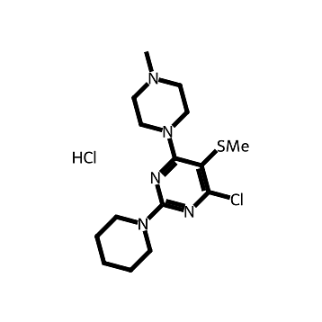 CSc1c(Cl)nc(N2CCCCC2)nc1N1CCN(C)CC1.Cl